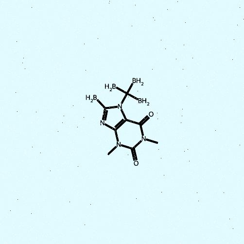 Bc1nc2c(c(=O)n(C)c(=O)n2C)n1C(B)(B)B